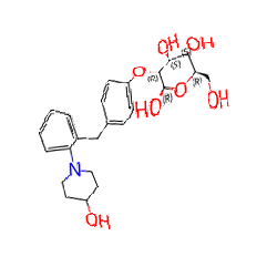 OC[C@H]1O[C@@H](O)[C@H](Oc2ccc(Cc3ccccc3N3CCC(O)CC3)cc2)[C@@H](O)[C@@H]1O